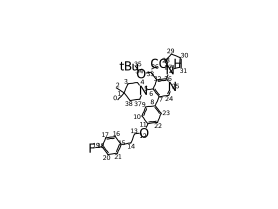 CC1(C)CCN(c2c(-c3ccc(OCCc4ccc(F)cc4)cc3)cnc(N3CCCC3)c2[C@H](OC(C)(C)C)C(=O)O)CC1